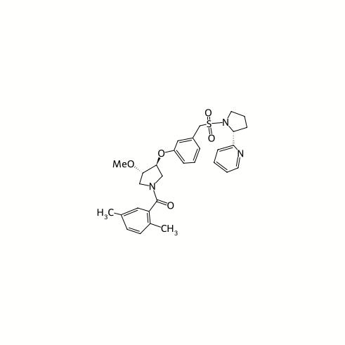 CO[C@H]1CN(C(=O)c2cc(C)ccc2C)C[C@@H]1Oc1cccc(CS(=O)(=O)N2CCC[C@@H]2c2ccccn2)c1